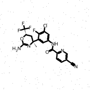 C[C@@]1(c2cc(NC(=O)c3ccc(C#N)cn3)cc(Cl)c2F)C[C@@H](C(F)(F)F)OC(N)=N1